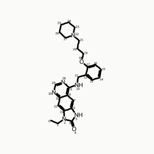 CCn1c(=O)[nH]c2cc3c(NCc4ccccc4OCCCN4CCCCC4)ncnc3cc21